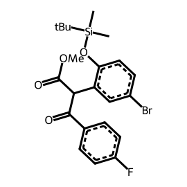 COC(=O)C(C(=O)c1ccc(F)cc1)c1cc(Br)ccc1O[Si](C)(C)C(C)(C)C